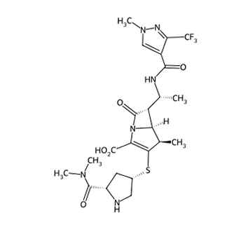 C[C@@H](NC(=O)c1cn(C)nc1C(F)(F)F)[C@H]1C(=O)N2C(C(=O)O)=C(S[C@@H]3CN[C@H](C(=O)N(C)C)C3)[C@H](C)[C@H]12